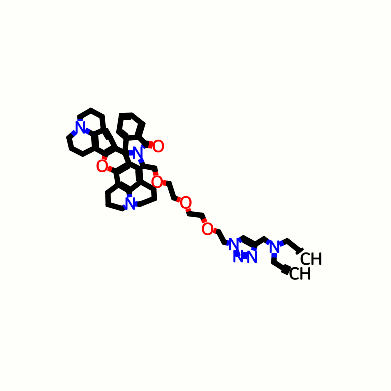 C#CCN(CC#C)Cc1cn(CCOCCOCCOCCN2C(=O)c3ccccc3C23c2cc4c5c(c2Oc2c3cc3c6c2CCCN6CCC3)CCCN5CCC4)nn1